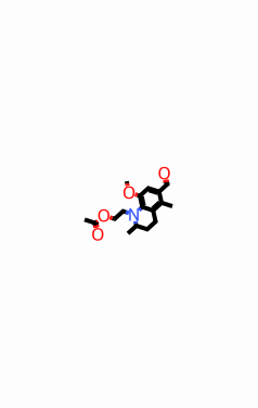 COc1cc(C=O)c(C)c2c1N(CCOC(C)=O)C(C)CC2